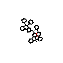 CC1(c2ccccc2)c2ccccc2-c2cc(N(c3ccc4c(c3)c(-c3ccccc3)c(-c3ccccc3)c3ccccc34)c3ccccc3-c3ccccc3)ccc21